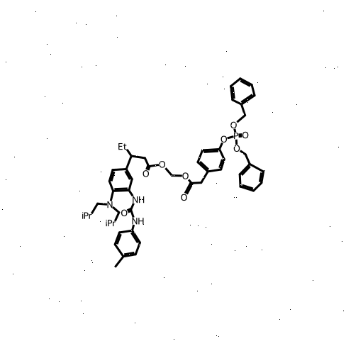 CCC(CC(=O)OCOC(=O)Cc1ccc(OP(=O)(OCc2ccccc2)OCc2ccccc2)cc1)c1ccc(N(CC(C)C)CC(C)C)c(NC(=O)Nc2ccc(C)cc2)c1